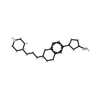 NC1CCC(c2ccc3c(c2)CCC(CCCC2CCOCC2)C3)C1